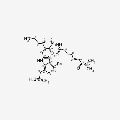 CCCc1ccc(NC(=O)CCC/C=C/C(=O)N(C)C)c(=O)n1Cc1nc2c(F)cnc(CC(C)C)c2[nH]1